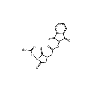 CC(C)(C)C(=O)ON1C(=O)CC(CC(=O)ON2C(=O)c3ccccc3C2=O)C1=O